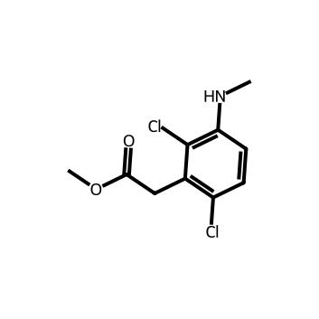 CNc1ccc(Cl)c(CC(=O)OC)c1Cl